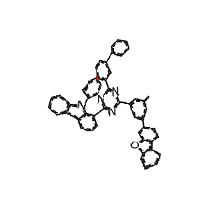 Cc1cc(-c2ccc3c(c2)oc2ccccc23)cc(-c2nc(-c3cccc(-c4ccccc4)c3)nc(-c3cccc4c5ccccc5n(-c5ccccc5)c34)n2)c1